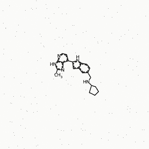 Cc1nc2c(-c3cc4cc(CNC5CCCC5)ccc4[nH]3)ccnc2[nH]1